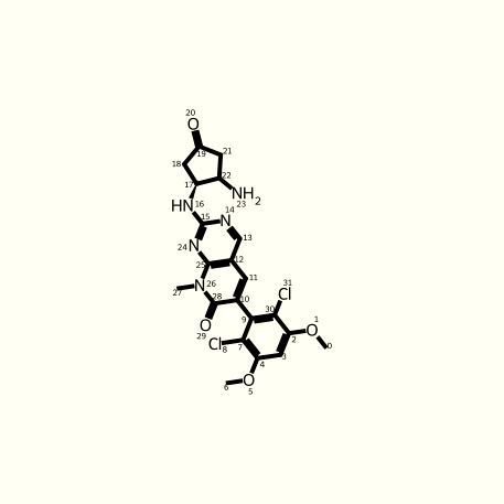 COc1cc(OC)c(Cl)c(-c2cc3cnc(N[C@H]4CC(=O)CC4N)nc3n(C)c2=O)c1Cl